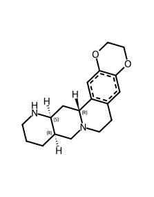 c1c2c(cc3c1OCCO3)[C@H]1C[C@@H]3NCCC[C@@H]3CN1CC2